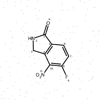 O=C1NCc2c1ccc(F)c2[N+](=O)[O-]